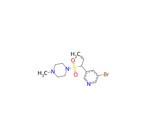 C=CC(c1cncc(Br)c1)S(=O)(=O)N1CCN(C)CC1